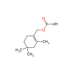 CCCC(=O)OCC1=C(C)CC(C)(C)CC1